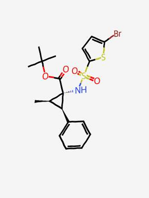 C[C@@H]1[C@H](c2ccccc2)[C@]1(NS(=O)(=O)c1ccc(Br)s1)C(=O)OC(C)(C)C